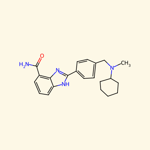 CN(Cc1ccc(-c2nc3c(C(N)=O)cccc3[nH]2)cc1)C1CCCCC1